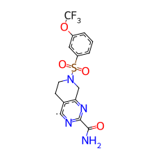 NC(=O)c1n[c]c2c(n1)CN(S(=O)(=O)c1cccc(OC(F)(F)F)c1)CC2